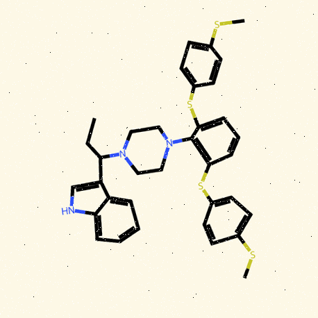 CCC(c1c[nH]c2ccccc12)N1CCN(c2c(Sc3ccc(SC)cc3)cccc2Sc2ccc(SC)cc2)CC1